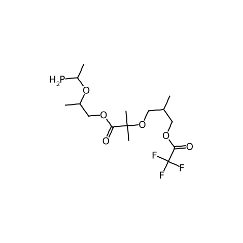 CC(COC(=O)C(F)(F)F)COC(C)(C)C(=O)OCC(C)OC(C)P